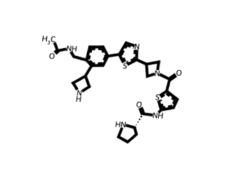 CC(=O)NCc1ccc(-c2cnc(C3CN(C(=O)c4ccc(NC(=O)[C@@H]5CCCN5)s4)C3)s2)cc1C1CNC1